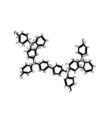 Cc1ccc(N(c2ccc(-c3ccc(N(c4ccc(C)cc4)c4ccc5c(c4)c4ccccc4n5-c4ccc(F)cc4)cc3)cc2)c2ccc3c(c2)C2C=CC=CC2N3c2ccc(F)cc2)cc1